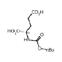 CCCCOC(=O)N[C@@H](CCC(=O)O)C(=O)O